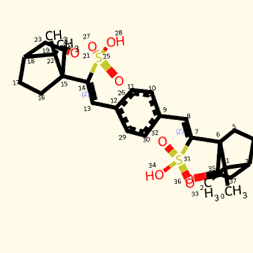 CC1(C)C2CCC1(/C(=C/c1ccc(/C=C(/C34CCC(CC3=O)C4(C)C)S(=O)(=O)O)cc1)S(=O)(=O)O)C(=O)C2